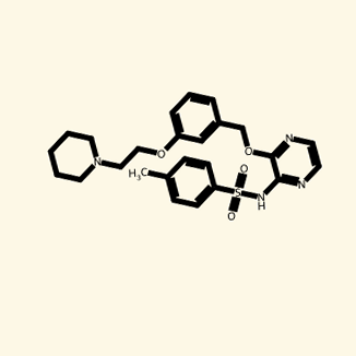 Cc1ccc(S(=O)(=O)Nc2nccnc2OCc2cccc(OCCN3CCCCC3)c2)cc1